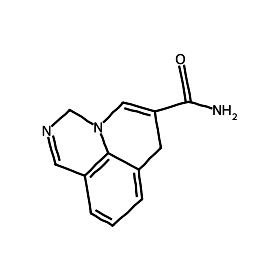 NC(=O)C1=CN2CN=Cc3cccc(c32)C1